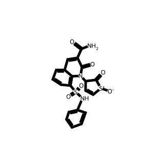 NC(=O)c1cc2cccc(S(=O)(=O)Nc3ccccc3)c2n(C2C=C[S+]([O-])C2=O)c1=O